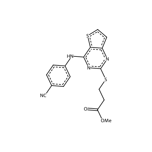 COC(=O)CCSc1nc(Nc2ccc(C#N)cc2)c2sccc2n1